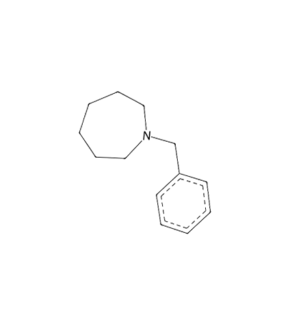 c1ccc(CN2CCCCCC2)cc1